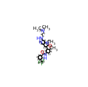 CCN(CC)CCCNc1cc2c(cn1)cc(-c1cc(NC(=O)c3cccc(C(F)(F)F)c3)ccc1C)c(=O)n2C